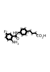 Nc1ccc(F)cc1C(=O)Nc1ccc(CCCC(=O)O)cc1